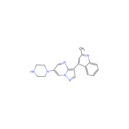 Cc1cc(-c2cnn3cc(N4CCNCC4)cnc23)c2ccccc2n1